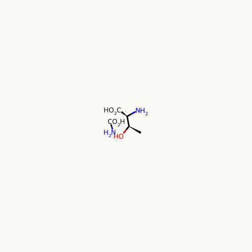 C[C@@H](O)[C@H](N)C(=O)O.NC(=O)O